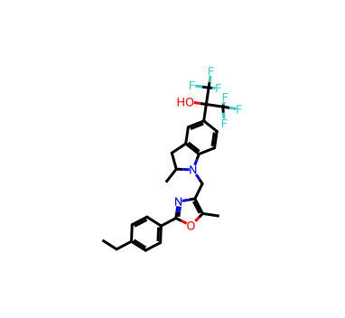 CCc1ccc(-c2nc(CN3c4ccc(C(O)(C(F)(F)F)C(F)(F)F)cc4CC3C)c(C)o2)cc1